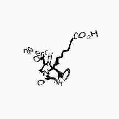 CCCCCC(=O)C1CN2C(=O)NC(=O)C2(CCCCCCC(=O)O)N1